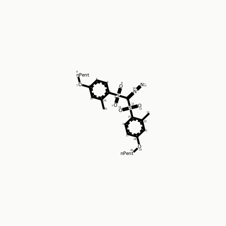 CCCCCOc1ccc(S(=O)(=O)C(=[N+]=[N-])S(=O)(=O)c2ccc(OCCCCC)cc2C)c(C)c1